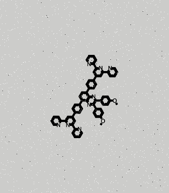 COc1ccc(-c2nc3c(-c4ccc(-c5cc(-c6ccccn6)nc(-c6ccccn6)c5)cc4)ccc(-c4ccc(-c5cc(-c6ccccn6)nc(-c6ccccn6)c5)cc4)c3nc2-c2ccc(OC)cc2)cc1